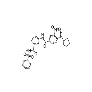 O=C(Nc1cccc(C(=O)NS(=O)(=O)c2ccccc2)c1)c1ccc(NC2CCCC2)c([N+](=O)[O-])c1